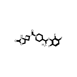 CC(Oc1c(F)ccc(F)c1F)C1CCN(C(=O)[C@H]2C[C@@]3(COC(=O)N3)C2)CC1